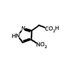 O=C(O)Cc1n[nH]cc1[N+](=O)[O-]